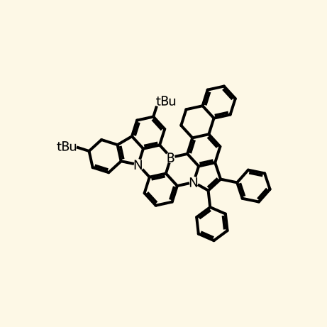 CC(C)(C)c1cc2c3c(c1)c1c(n3-c3cccc4c3B2c2c3c(cc5c(-c6ccccc6)c(-c6ccccc6)n-4c25)-c2ccccc2CC3)C=CC(C(C)(C)C)C1